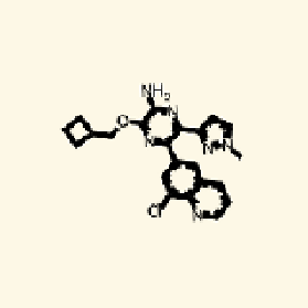 Cn1ccc(-c2nc(N)c(OCC3CCC3)nc2-c2cc(Cl)c3ncccc3c2)n1